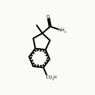 CC1(C(N)=O)Cc2ccc(C(=O)O)cc2C1